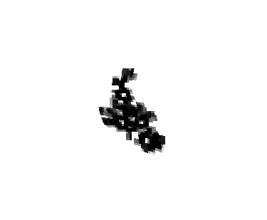 C=CC(=O)N1CCC(n2nc(N3CC[C@@H](CN4CCOCC45COC5)CC3(C)C)c(-c3c(C)c(Cl)cc4[nH]ncc34)c2C)CC1